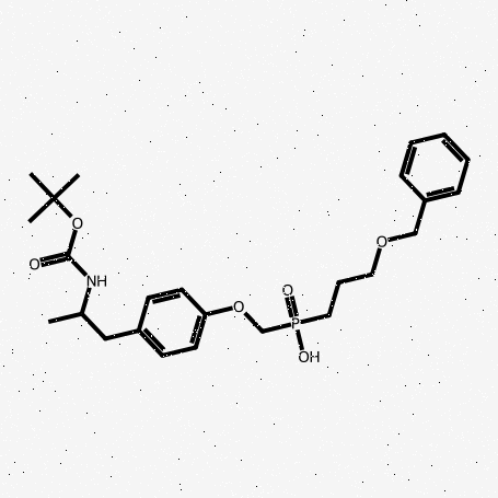 CC(Cc1ccc(OCP(=O)(O)CCCOCc2ccccc2)cc1)NC(=O)OC(C)(C)C